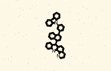 c1cc(-c2ccc(-c3c4ccccc4nc4c3ccc3cccnc34)c3ccccc23)cc(-n2c3ccccc3c3ccccc32)c1